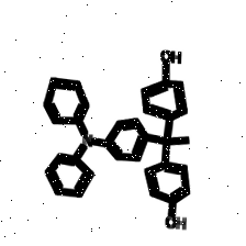 CC(c1ccc(O)cc1)(c1ccc(O)cc1)c1ccc(N(c2ccccc2)c2ccccc2)cc1